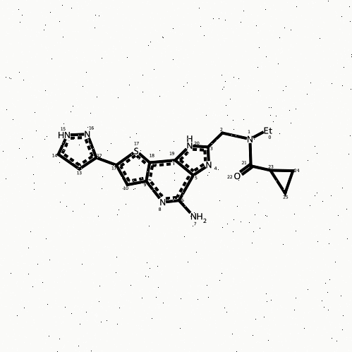 CCN(Cc1nc2c(N)nc3cc(-c4cc[nH]n4)sc3c2[nH]1)C(=O)C1CC1